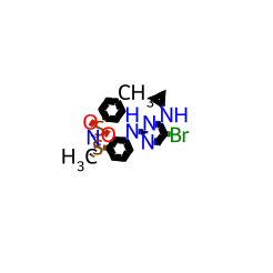 Cc1ccc(S(=O)(=O)N=S(C)c2cccc(Nc3ncc(Br)c(NC4CC4)n3)c2)cc1